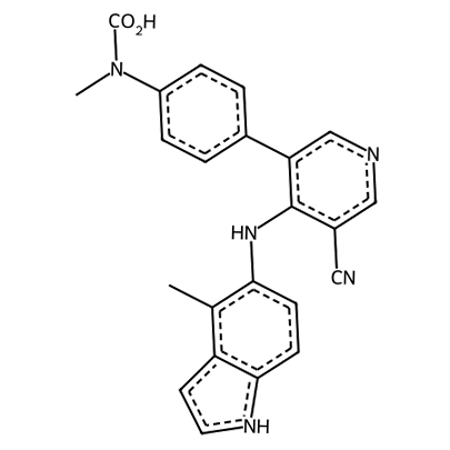 Cc1c(Nc2c(C#N)cncc2-c2ccc(N(C)C(=O)O)cc2)ccc2[nH]ccc12